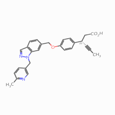 CC#C[C@@H](CC(=O)O)c1ccc(OCc2ccc3cnn(Cc4ccc(C)nc4)c3c2)cc1